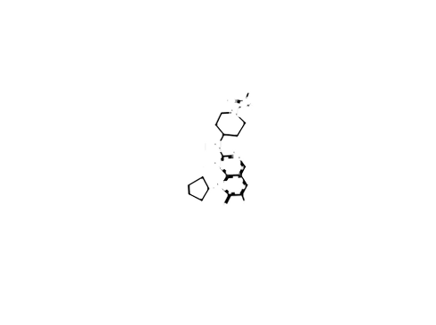 C[C@H]1CCC[C@H]1n1c(=O)c(Cl)cc2cnc(NC3CCN(S(C)(=O)=O)CC3)nc21